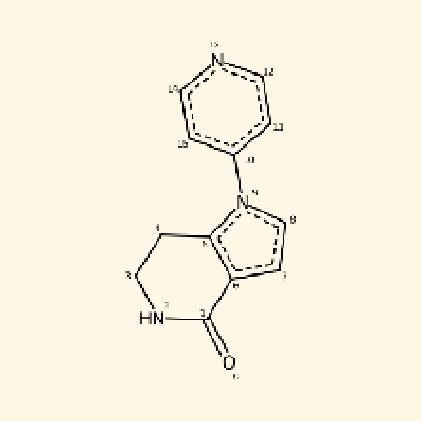 O=C1NCCc2c1ccn2-c1ccncc1